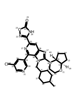 CC1CCC(Cn2c(N3CCO[C@@H]4CCC[C@H]43)nc3cc(-c4noc(=O)[nH]4)nc(-c4cncc(Cl)c4)c32)CC1